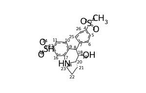 CS(=O)(=O)c1ccc(C(c2ccc([SH](=O)=O)cc2)[C@@H](O)[C@@H]2CCCN2)cc1